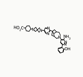 Nc1nnc(-c2ccccc2O)cc1N1CCC2CC3(c4ncc(N5CC6(C5)CN(C5CCC(C(=O)O)CC5)C6)cn4)CC(C1)C23